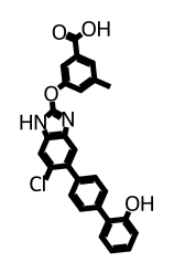 Cc1cc(Oc2nc3cc(-c4ccc(-c5ccccc5O)cc4)c(Cl)cc3[nH]2)cc(C(=O)O)c1